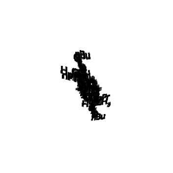 CCCCOCCOCCN(C(=O)C(C)(C)CCC)c1ccc(F)[c]([Ti]([c]2c(F)ccc(N(CCOCCOCCCC)C(=O)C(C)(C)CCC)c2F)([CH]2C=CC=C2)[CH]2C=CC=C2)c1F